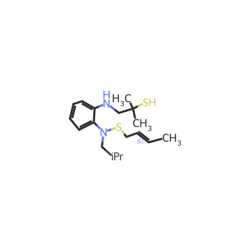 C/C=C/CSN(CC(C)C)c1ccccc1NCC(C)(C)S